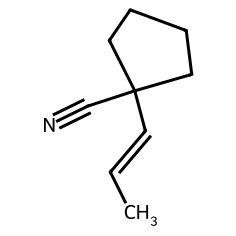 C/C=C/C1(C#N)CCCC1